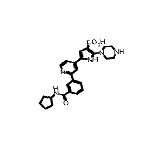 O=C(NC1CCCC1)c1cccc(-c2cc(-c3cc(C(=O)O)c(N4CCNCC4)[nH]3)ccn2)c1